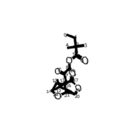 CCC(C)(C)C(=O)OCC(=O)CC1(C)C2CC3C(=O)OC1C3O2